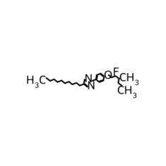 CCCCCCCCCCCc1cnc(-c2ccc(OCC(F)C(C)CCC)cc2)nc1